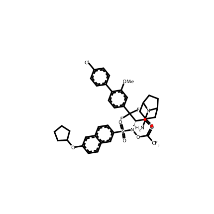 COc1cc(C(F)(F)[C@H](C(=O)N2C3CCC2CC(N)C3)N(OC(=O)C(F)(F)F)S(=O)(=O)c2ccc3cc(OC4CCCC4)ccc3c2)ccc1-c1ccc(Cl)cc1